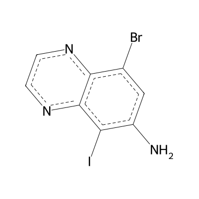 Nc1cc(Br)c2nccnc2c1I